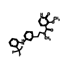 COc1c(C(=O)N(C)CCc2cccc(Nc3ccccc3C(F)(F)F)c2)cc[nH]c1=O